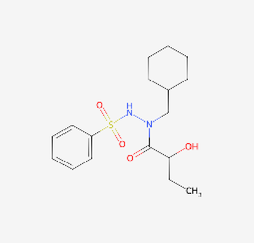 CCC(O)C(=O)N(CC1CCCCC1)NS(=O)(=O)c1ccccc1